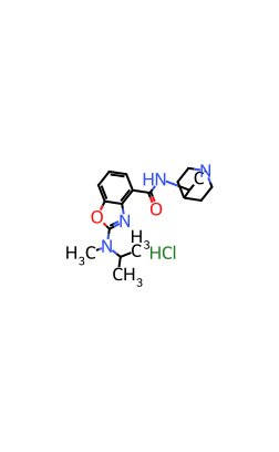 CC(C)N(C)c1nc2c(C(=O)NC3CN4CCC3CC4)cccc2o1.Cl